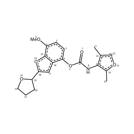 COc1ccc(OC(=O)Nc2c(C)noc2C)c2cc(C3CCCO3)oc12